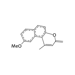 C=C1C=C(C)c2c(ccc3ccc(OC)cc23)O1